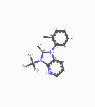 [2H]C([2H])([2H])N1c2ncccc2N(c2ccccc2C)[C@@H]1C